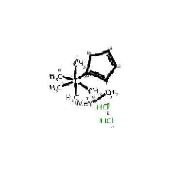 CNC.Cl.Cl.[CH3][Ti]([CH3])([CH3])([CH3])([CH3])[C]1=CC=CC1